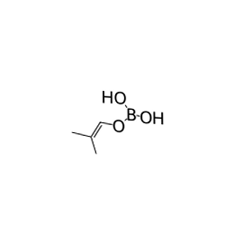 CC(C)=COB(O)O